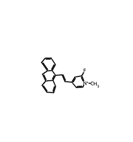 C[n+]1ccc(/C=C/c2c3ccccc3cc3ccccc23)cc1F